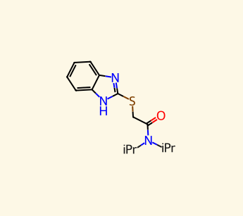 CC(C)N(C(=O)CSc1nc2ccccc2[nH]1)C(C)C